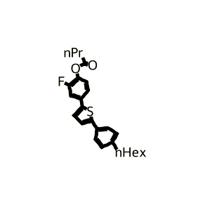 CCCCCCc1ccc(-c2ccc(-c3ccc(OC(=O)CCC)c(F)c3)s2)cc1